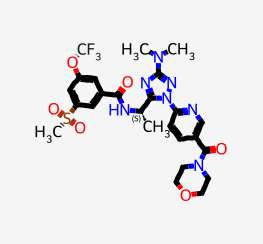 C[C@H](NC(=O)c1cc(OC(F)(F)F)cc(S(C)(=O)=O)c1)c1nc(N(C)C)nn1-c1ccc(C(=O)N2CCOCC2)cn1